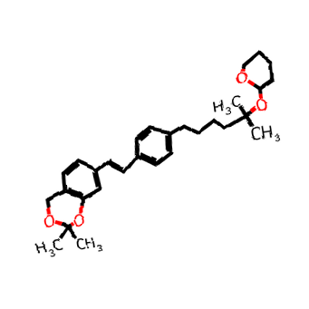 CC(C)(CCCCc1ccc(C=Cc2ccc3c(c2)OC(C)(C)OC3)cc1)OC1CCCCO1